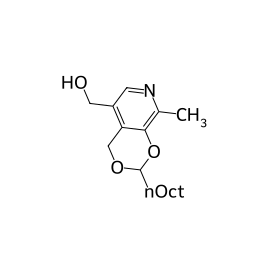 CCCCCCCCC1OCc2c(CO)cnc(C)c2O1